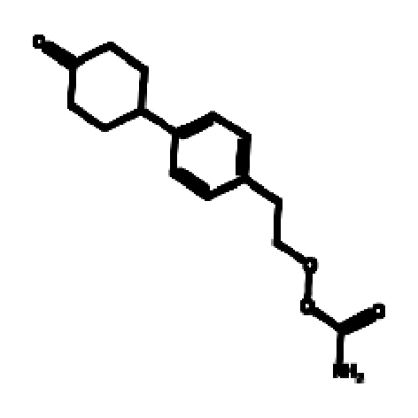 NC(=O)OOCCc1ccc(C2CCC(=O)CC2)cc1